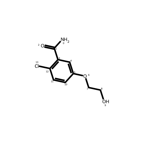 NC(=O)c1cc(OCCO)ccc1Cl